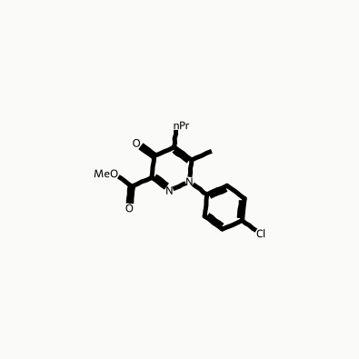 CCCc1c(C)n(-c2ccc(Cl)cc2)nc(C(=O)OC)c1=O